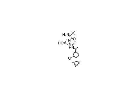 Cc1ncsc1-c1ccc([C@H](C)NC(=O)[C@@H]2C[C@@H](O)CN2C(=O)[C@@H](N)C(C)(C)C)cc1Cl